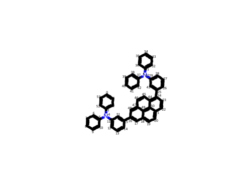 c1ccc(N(c2ccccc2)c2cccc(-c3cc4ccc5ccc(-c6cccc(N(c7ccccc7)c7ccccc7)c6)c6ccc(c3)c4c56)c2)cc1